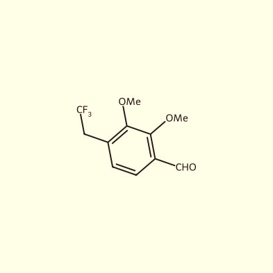 COc1c(C=O)ccc(CC(F)(F)F)c1OC